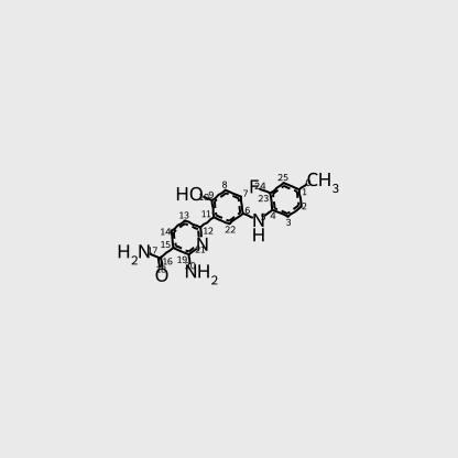 Cc1ccc(Nc2ccc(O)c(-c3ccc(C(N)=O)c(N)n3)c2)c(F)c1